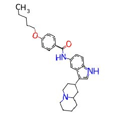 CCCCCOc1ccc(C(=O)Nc2ccc3[nH]cc(C4CCN5CCCCC5C4)c3c2)cc1